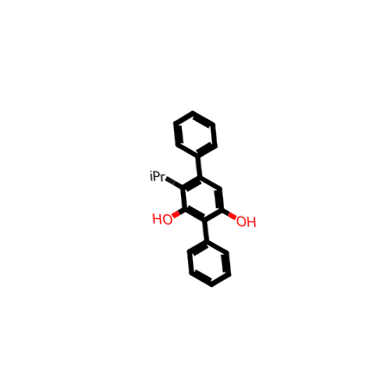 CC(C)c1c(-c2ccccc2)cc(O)c(-c2ccccc2)c1O